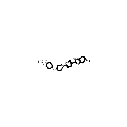 O=C(O)[C@H]1CC[C@H](OC2CCN(c3ccc(-c4nc5cc(Cl)ccc5[nH]4)cn3)CC2)CC1